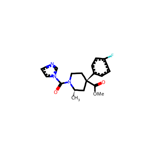 COC(=O)[C@@]1(c2ccc(F)cc2)CCN(C(=O)n2ccnc2)[C@@H](C)C1